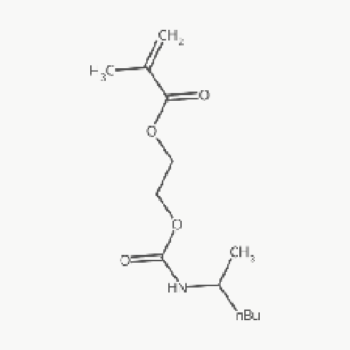 C=C(C)C(=O)OCCOC(=O)NC(C)CCCC